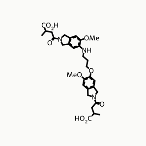 COc1cc2c(cc1NCCCOc1cc3c(cc1OC)CN(C(=O)CC(C)C(=O)O)C3)CN(C(=O)CC(C)C(=O)O)C2